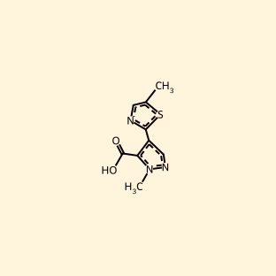 Cc1cnc(-c2cnn(C)c2C(=O)O)s1